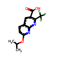 CC(C)Oc1ccc2cc(C(=O)O)c(C(F)(F)F)nc2n1